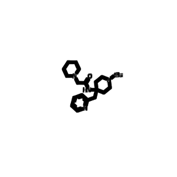 CC(C)(C)N1CCC(Cc2ccccn2)(NC(=O)CN2CCCCC2)CC1